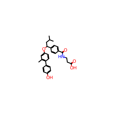 Cc1cc(OC(CC(C)C)c2ccc(C(=O)NCCC(=O)O)cc2)ccc1-c1ccc(O)cc1